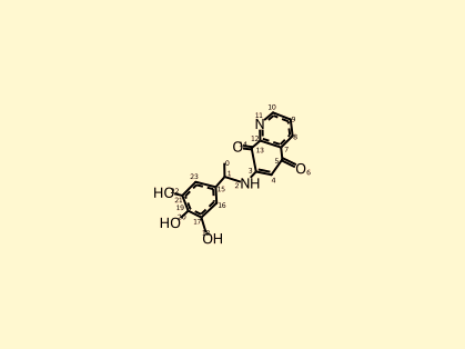 CC(NC1=CC(=O)c2cccnc2C1=O)c1cc(O)c(O)c(O)c1